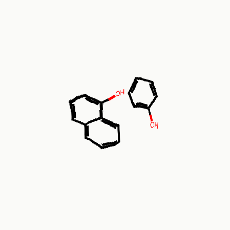 Oc1cccc2ccccc12.Oc1ccccc1